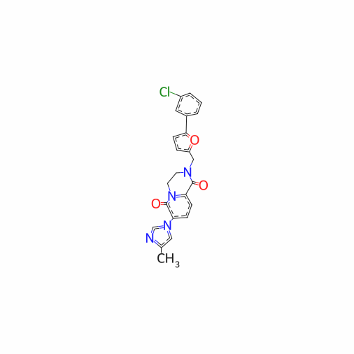 Cc1cn(-c2ccc3n(c2=O)CCN(Cc2ccc(-c4cccc(Cl)c4)o2)C3=O)cn1